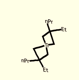 CCCC1(CC)[CH2][Ti]2([CH2]1)[CH2]C(CC)(CCC)[CH2]2